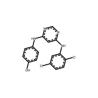 Oc1ccc(Nc2cc(Nc3cc(Cl)ccc3Cl)ncn2)cc1